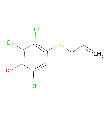 C=CCSc1cc(Cl)c(O)c(Cl)c1Cl